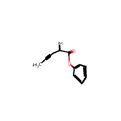 CC#CC(C(C)=O)C(=O)Oc1ccccc1